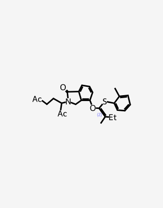 CC/C(C)=C(/Oc1cccc2c1CN(C(CCC(C)=O)C(C)=O)C2=O)Sc1ccccc1C